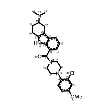 COc1ccc(N2CCN(C(=O)c3cccc4c5c([nH]c34)CCC(N(C)C)C5)CC2)c(Cl)c1